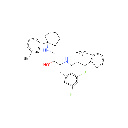 CC(C)(C)c1cccc(C2(NCC(O)C(Cc3cc(F)cc(F)c3)NCCCc3ccccc3C(=O)O)CCCCC2)c1